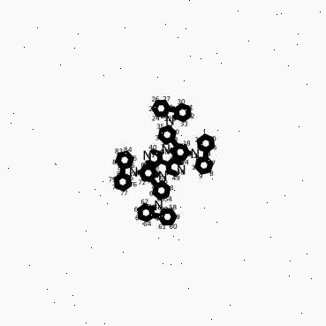 c1ccc2c(c1)c1ccccc1n2-c1ccc2c(c1)c1cc(-n3c4ccccc4c4ccccc43)ccc1n2-c1cnccc1-c1ccncc1-n1c2ccc(-n3c4ccccc4c4ccccc43)cc2c2cc(-n3c4ccccc4c4ccccc43)ccc21